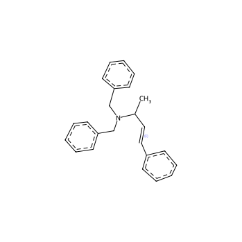 CC(/C=C/c1ccccc1)N(Cc1ccccc1)Cc1ccccc1